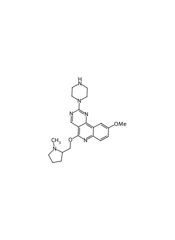 COc1ccc2nc(OCC3CCCN3C)c3cnc(N4CCNCC4)nc3c2c1